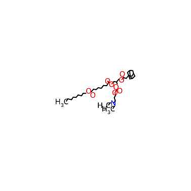 CCCCCCCCCOC(=O)CCCCCCC(=O)OCC(COC(=O)CC12CC3CC(CC(C3)C1)C2)COC(=O)OCCCN(CC)CC